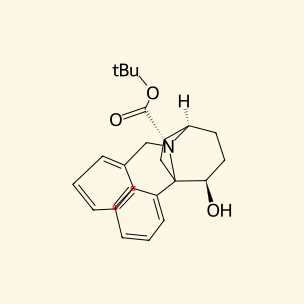 CC(C)(C)OC(=O)[C@H]1CC2(c3ccccc3)[C@H](O)CC[C@H]1N2Cc1ccccc1